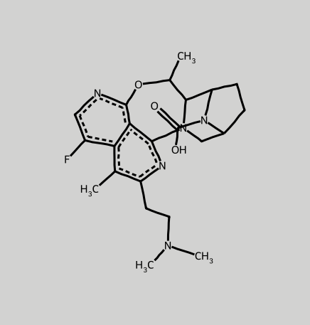 Cc1c(CCN(C)C)nc2c3c(ncc(F)c13)OC(C)C1C3CCC(CN21)N3C(=O)O